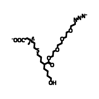 C[N+](C)(CCSCCCC(CCCCO)C(=O)OCCOCCOCCOCCN=[N+]=[N-])CC(=O)[O-]